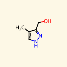 Cc1c[nH]nc1CO